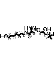 CC(C)(C)NCC(O)COc1ncc(C(=O)NCCCCCCCO)s1